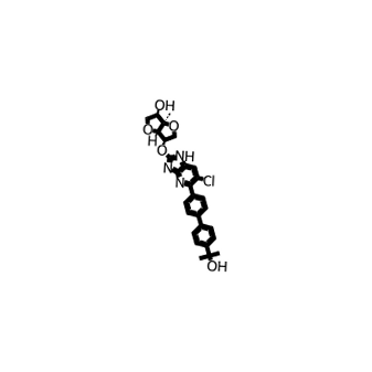 CC(C)(O)c1ccc(-c2ccc(-c3nc4nc(O[C@@H]5CO[C@]6(C)[C@H](O)CO[C@H]56)[nH]c4cc3Cl)cc2)cc1